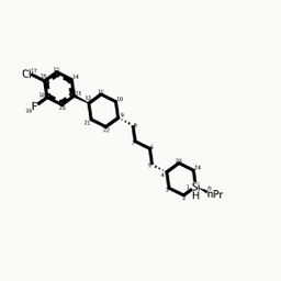 CCC[Si@H]1CC[C@H](CCCC[C@H]2CC[C@H](c3ccc(Cl)c(F)c3)CC2)CC1